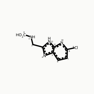 O=C(O)NCc1nc2ccc(Cl)nc2[nH]1